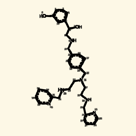 Oc1cccc(C(O)CNCc2ccc(CN(CCNCc3ccccn3)CCNCc3ccccn3)cc2)c1